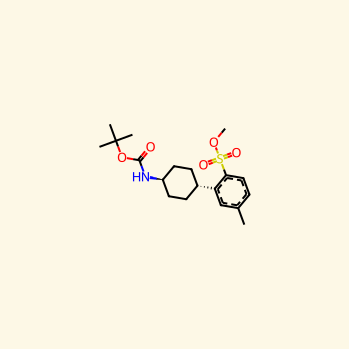 COS(=O)(=O)c1ccc(C)cc1[C@H]1CC[C@H](NC(=O)OC(C)(C)C)CC1